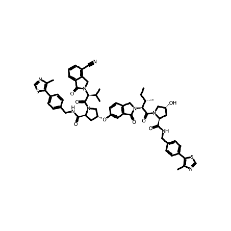 CC[C@H](C)[C@@H](C(=O)N1C[C@H](O)C[C@H]1C(=O)NCc1ccc(-c2scnc2C)cc1)N1Cc2ccc(O[C@@H]3C[C@@H](C(=O)NCc4ccc(-c5scnc5C)cc4)N(C(=O)[C@H](C(C)C)N4Cc5c(C#N)cccc5C4=O)C3)cc2C1=O